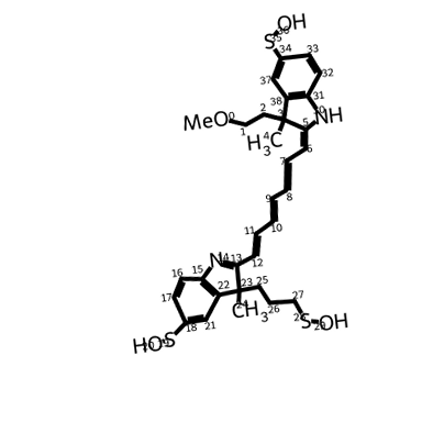 COCCC1(C)\C(=C/C=C/C=C/C=C/C2=Nc3ccc(SO)cc3C2(C)CCCSO)Nc2ccc(SO)cc21